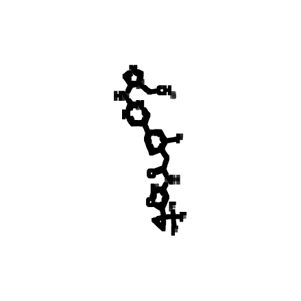 CCn1cncc1Nc1ncc(-c2ccc(CC(=O)Nc3cc(C4(C(F)(F)F)CC4)on3)c(F)c2)cn1